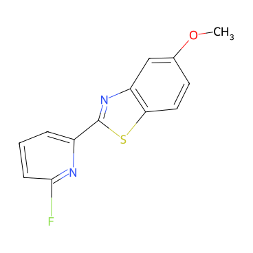 COc1ccc2sc(-c3cccc(F)n3)nc2c1